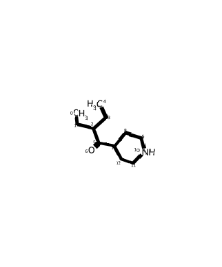 CCC(CC)C(=O)C1CCNCC1